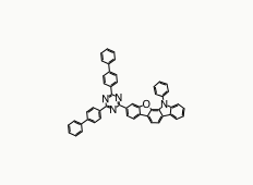 c1ccc(-c2ccc(-c3nc(-c4ccc(-c5ccccc5)cc4)nc(-c4ccc5c(c4)oc4c5ccc5c6ccccc6n(-c6ccccc6)c54)n3)cc2)cc1